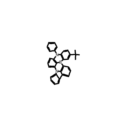 CC(C)(C)c1ccc2c(c1)B1c3c(cccc3-n3c4ccccc4c4cccc1c43)N2c1ccccc1